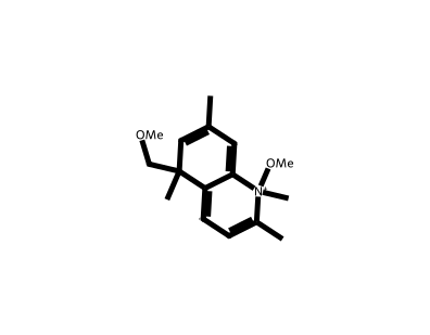 COCC1(C)C=C(C)C=C2C1=[C]C=C(C)[N+]2(C)OC